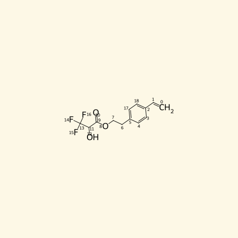 C=Cc1ccc(CCOC(=O)C(O)C(F)(F)F)cc1